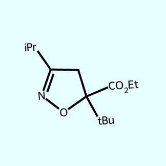 CCOC(=O)C1(C(C)(C)C)CC(C(C)C)=NO1